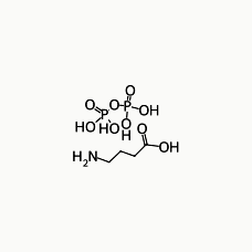 NCCCC(=O)O.O=P(O)(O)OP(=O)(O)O